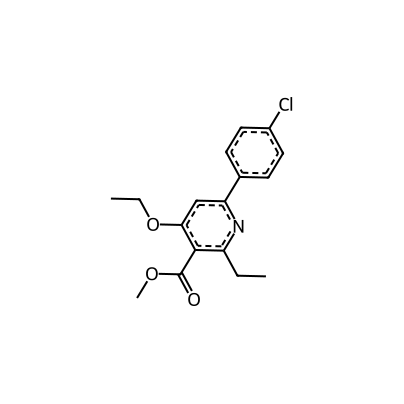 CCOc1cc(-c2ccc(Cl)cc2)nc(CC)c1C(=O)OC